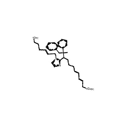 CCCCCCCCCCCCCCCCCCC(c1nccn1CCCCCCCCCCCCCCCC)C(C)(Cc1ccccc1)c1ccccc1